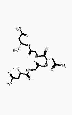 NC(=O)C[C@H](NC(=O)CNC(=O)[C@H](CC(N)=O)NC(=O)CNC(=O)[C@@H](N)CC(N)=O)C(=O)O